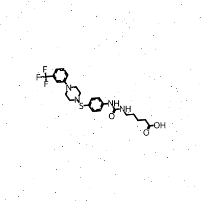 O=C(O)CCCCNC(=O)Nc1ccc(SN2CCN(c3cccc(C(F)(F)F)c3)CC2)cc1